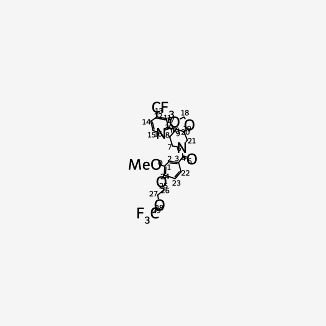 COc1cc(C(=O)N2CC[C@]3(c4cc(C(F)(F)F)ccn4)OCOC3C2)ccc1OCCOC(F)(F)F